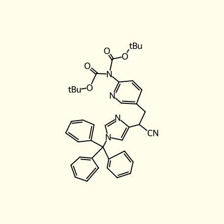 CC(C)(C)OC(=O)N(C(=O)OC(C)(C)C)c1ccc(CC(C#N)c2cn(C(c3ccccc3)(c3ccccc3)c3ccccc3)cn2)cn1